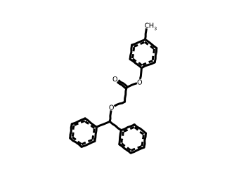 Cc1ccc(OC(=O)COC(c2ccccc2)c2ccccc2)cc1